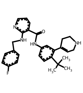 CC(C)(C)c1ccc(NC(=O)c2cccnc2NCc2ccc(F)cc2)cc1C1=CCNCC1